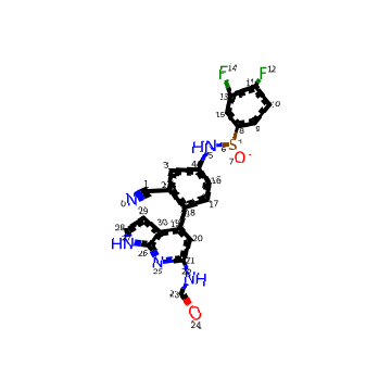 N#Cc1cc(N[S+]([O-])c2ccc(F)c(F)c2)ccc1-c1cc(NC=O)nc2[nH]ccc12